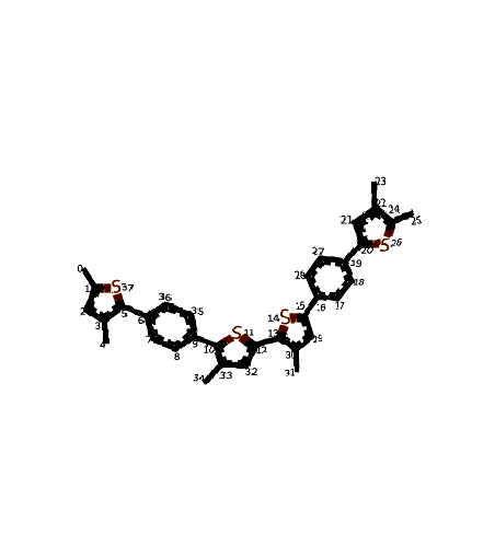 Cc1cc(C)c(-c2ccc(-c3sc(-c4sc(-c5ccc(-c6cc(C)c(C)s6)cc5)cc4C)cc3C)cc2)s1